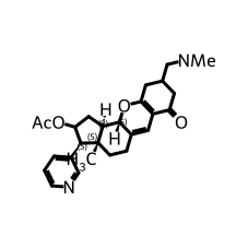 CNCC1CC(=O)C2=C(C1)O[C@@H]1C(=C2)CC[C@]2(C)[C@@H](c3cccnc3)C(OC(C)=O)C[C@@H]12